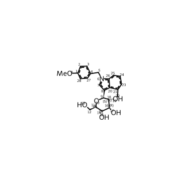 COc1ccc(Cn2cc([C@@H]3O[C@H](CO)[C@@H](O)[C@H](O)[C@H]3O)c3c(C)cccc32)cc1